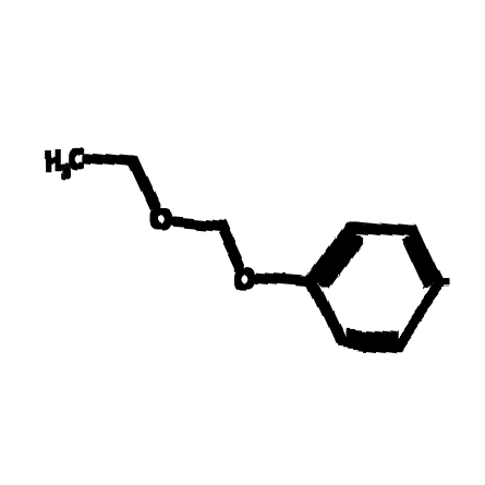 CCOCOc1cc[c]cc1